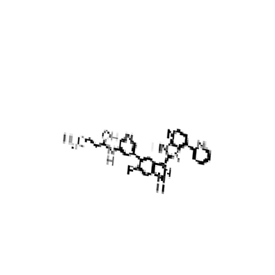 CCCC(O)Nc1cncc(-c2cc3c(-c4nc5c(-c6ccccn6)ccnc5[nH]4)n[nH]c3cc2F)c1